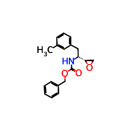 Cc1cccc(CC(NC(=O)OCc2ccccc2)[C@@H]2CO2)c1